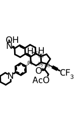 CC(=O)OCC(=O)[C@@]1(C#CC(F)(F)F)CC[C@H]2[C@@H]3CCC4=CC(=NO)CCC4=C3[C@@H](c3ccc(N4CCCCC4)cc3)C[C@@]21C